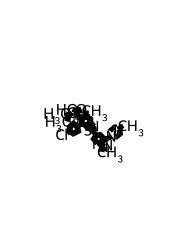 Cc1cc2nc(-c3cnc4c(c3)c(N3CCN(C)CC3)nn4C)sc2c(-c2ccc(Cl)cc2)c1[C@H](OC(C)(C)C)C(=O)O